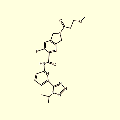 COCCC(=O)N1Cc2cc(F)c(C(=O)Nc3cccc(-c4nnnn4C(C)C)n3)cc2C1